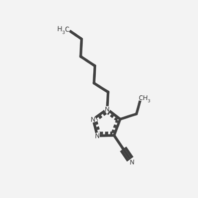 CCCCCCn1nnc(C#N)c1CC